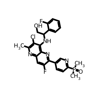 Cc1nc2cc(F)c(-c3ccc(P(C)(C)=O)nc3)nc2c(NC(CO)c2ccccc2F)c1Cl